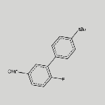 CC(C)(C)c1ccc(-c2cc(C=O)ccc2F)cc1